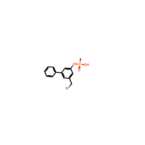 CP(=O)(O)Oc1cc(CBr)cc(-c2ccccc2)c1